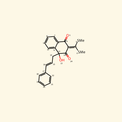 CSC(SC)=C1C(=O)c2ccccc2C(O)(CC=Cc2ccccc2)C1=O